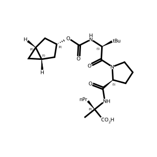 CCC[C@@](C)(NC(=O)[C@@H]1CCCN1C(=O)[C@@H](NC(=O)O[C@@H]1C[C@@H]2C[C@@H]2C1)C(C)(C)C)C(=O)O